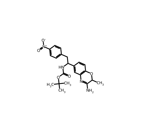 CC1Oc2ccc(C(Cc3ccc([N+](=O)[O-])cc3)NC(=O)OC(C)(C)C)cc2N=C1N